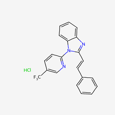 Cl.FC(F)(F)c1ccc(-n2c(C=Cc3ccccc3)nc3ccccc32)nc1